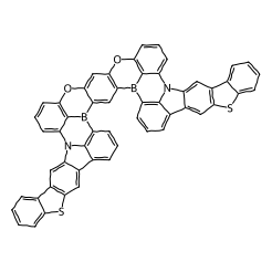 c1cc2c3c(c1)-n1c4cc5c(cc4c4cccc(c41)B3c1cc3c(cc1O2)Oc1cccc2c1B3c1cccc3c4cc6sc7ccccc7c6cc4n-2c13)sc1ccccc15